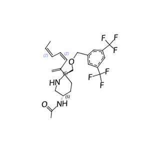 C=C(/C=C\C=C/C)[C@]1(COCc2cc(C(F)(F)F)cc(C(F)(F)F)c2)CC[C@H](NC(C)=O)CN1